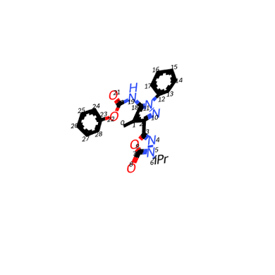 Cc1c(-c2nn(C(C)C)c(=O)o2)nn(-c2ccccc2)c1NC(=O)Oc1ccccc1